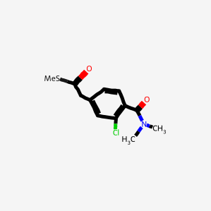 CSC(=O)Cc1ccc(C(=O)N(C)C)c(Cl)c1